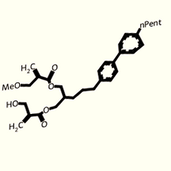 C=C(CO)C(=O)OCC(CCCc1ccc(-c2ccc(CCCCC)cc2)cc1)COC(=O)C(=C)COC